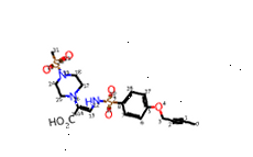 CC#CCOc1ccc(S(=O)(=O)N/C=C(/C(=O)O)N2CCN(S(C)(=O)=O)CC2)cc1